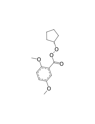 COc1ccc(OC)c(C(=O)OO[C]2CCCC2)c1